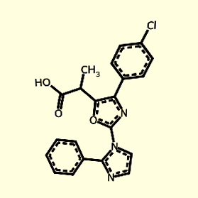 CC(C(=O)O)c1oc(-n2ccnc2-c2ccccc2)nc1-c1ccc(Cl)cc1